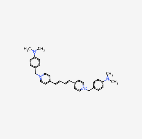 CN(C)c1ccc(C[n+]2ccc(/C=C/C=C/c3cc[n+](Cc4ccc(N(C)C)cc4)cc3)cc2)cc1